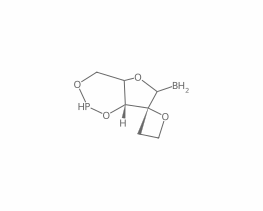 BC1OC2COPO[C@H]2[C@]12CCO2